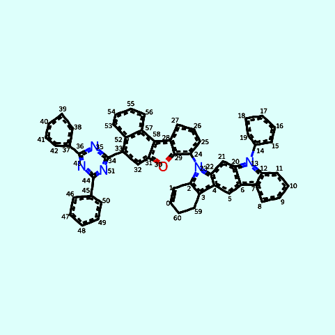 C1=Cc2c(c3cc4c5ccccc5n(-c5ccccc5)c4cc3n2-c2cccc3c2oc2cc(-c4nc(-c5ccccc5)nc(-c5ccccc5)n4)c4ccccc4c23)CC1